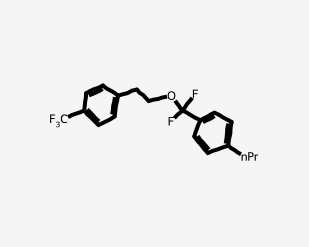 CCCc1ccc(C(F)(F)OCCc2ccc(C(F)(F)F)cc2)cc1